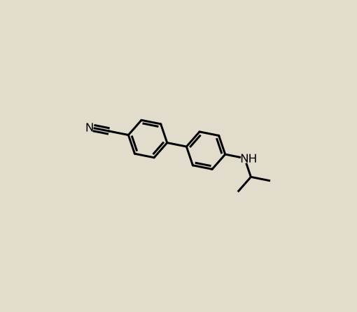 CC(C)Nc1ccc(-c2ccc(C#N)cc2)cc1